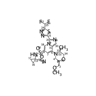 COC[C@H]1CN(c2cc(S(=O)(=O)NC3(C#N)CC3)cn3c(-c4nnc(C(F)F)s4)ncc23)[C@@H](C)CO1